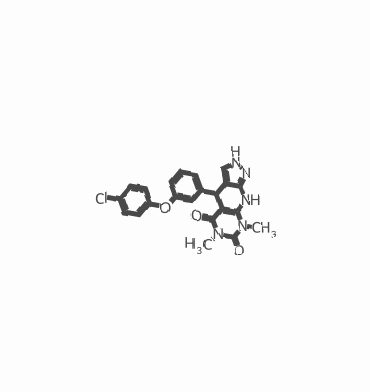 Cn1c2c(c(=O)n(C)c1=O)C(c1cccc(Oc3ccc(Cl)cc3)c1)c1c[nH]nc1N2